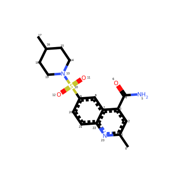 Cc1cc(C(N)=O)c2cc(S(=O)(=O)N3CCC(C)CC3)ccc2n1